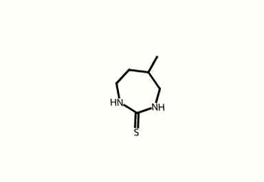 CC1CCNC(=S)NC1